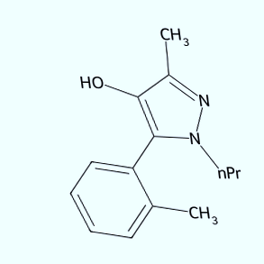 CCCn1nc(C)c(O)c1-c1ccccc1C